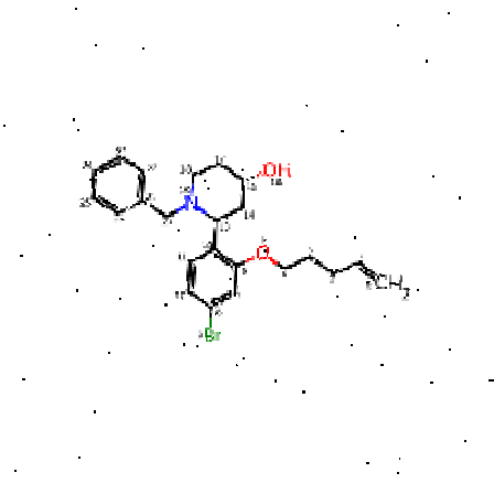 C=CCCCOc1cc(Br)ccc1[C@@H]1C[C@@H](O)CCN1Cc1ccccc1